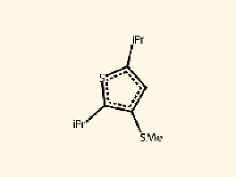 CSc1cc(C(C)C)sc1C(C)C